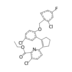 CCOC(=O)c1nc(C2=C(c3cc(Cl)ccc3OCc3ccc(F)cc3Cl)CCC2)ccc1Cl